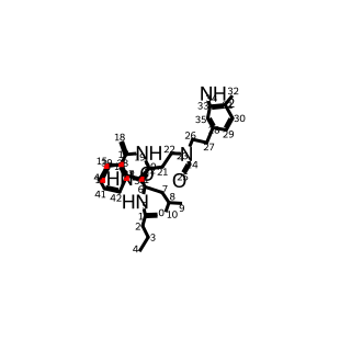 C=C(CCC)NC(CC(C)C)C(=O)NC(CC)C(=C)NC(CCN(C=O)CCc1ccc(C)c(N)c1)Cc1ccccc1